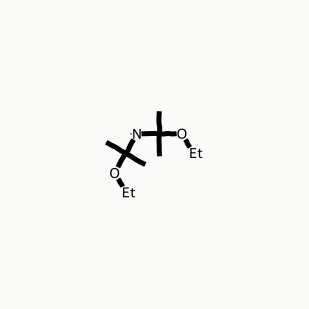 CCOC(C)(C)[N]C(C)(C)OCC